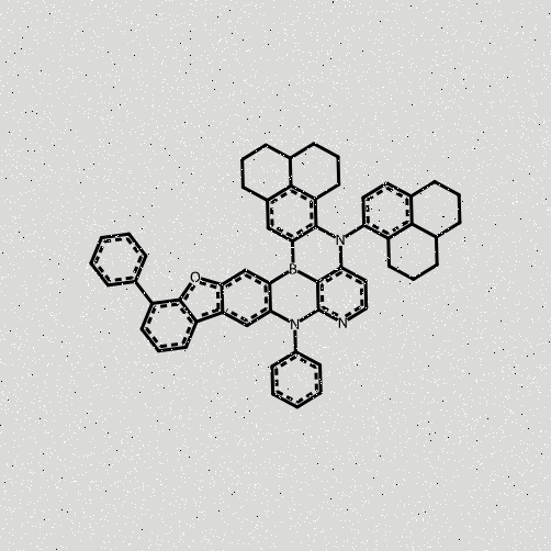 c1ccc(-c2cccc3c2oc2cc4c(cc23)N(c2ccccc2)c2nccc3c2B4c2cc4c5c(c2N3c2ccc3c6c2CCCC6CCC3)CCCC5CCC4)cc1